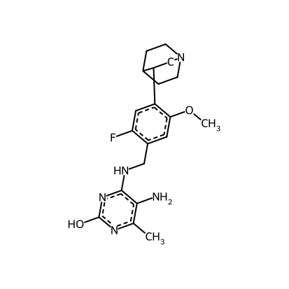 COc1cc(CNc2nc(O)nc(C)c2N)c(F)cc1C1CN2CCC1CC2